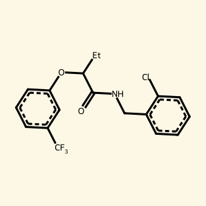 CCC(Oc1cccc(C(F)(F)F)c1)C(=O)NCc1ccccc1Cl